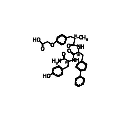 C[C@@H](Cc1ccc(OCC(=O)O)cc1)C(=O)N[C@@H](Cc1ccc(-c2ccccc2)cc1)C(=O)N[C@@H](Cc1ccc(O)cc1)C(N)=O